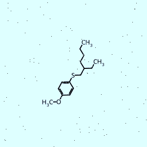 CCCCC(CC)CSc1ccc(OC)cc1